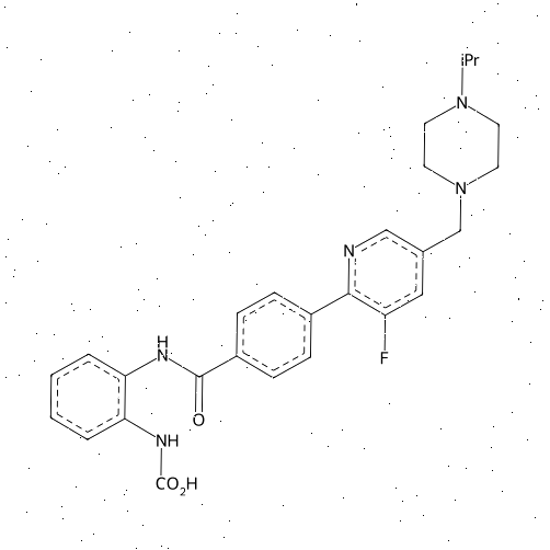 CC(C)N1CCN(Cc2cnc(-c3ccc(C(=O)Nc4ccccc4NC(=O)O)cc3)c(F)c2)CC1